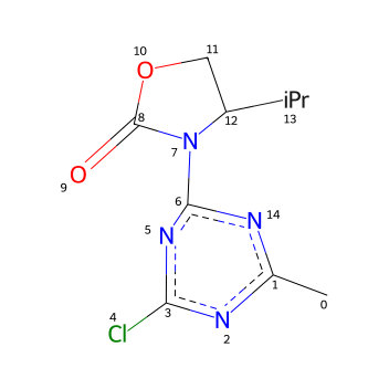 Cc1nc(Cl)nc(N2C(=O)OCC2C(C)C)n1